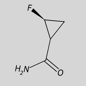 NC(=O)C1C[C@@H]1F